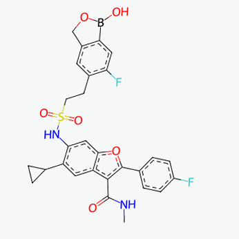 CNC(=O)c1c(-c2ccc(F)cc2)oc2cc(NS(=O)(=O)CCc3cc4c(cc3F)B(O)OC4)c(C3CC3)cc12